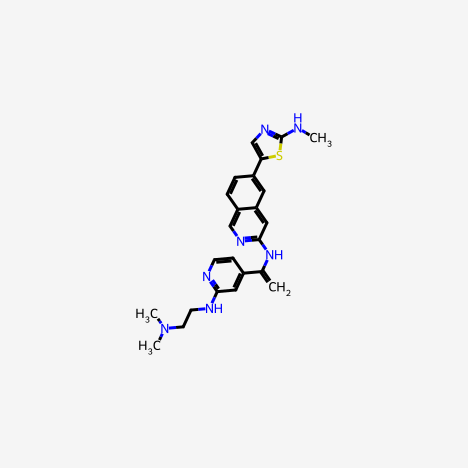 C=C(Nc1cc2cc(-c3cnc(NC)s3)ccc2cn1)c1ccnc(NCCN(C)C)c1